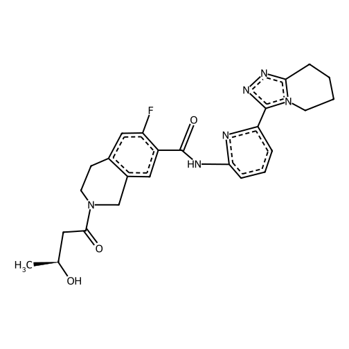 C[C@H](O)CC(=O)N1CCc2cc(F)c(C(=O)Nc3cccc(-c4nnc5n4CCCC5)n3)cc2C1